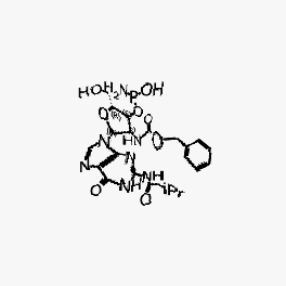 CC(C)C(=O)Nc1nc2c(ncn2[C@@H]2O[C@H](CO)[C@@H](OP(N)O)[C@H]2NC(=O)OCc2ccccc2)c(=O)[nH]1